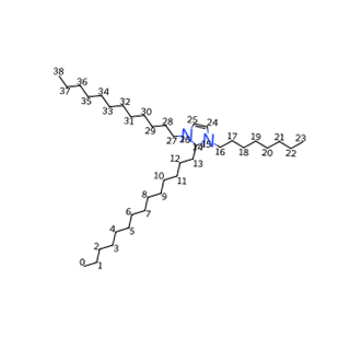 CCCCCCCCCCCCCCC1N(CCCCCCCC)C=CN1CCCCCCCCCCCC